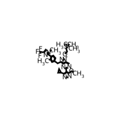 COc1ncnc(C2CC2)c1-c1ncc2c(n1)c(Cc1ccc(-c3nc(C(F)(F)F)cn3C)c(C)c1)nn2COCC[Si](C)(C)C